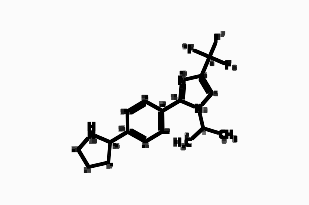 CC(C)n1cc(C(F)(F)F)nc1-c1ccc(C2CCCN2)cc1